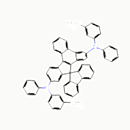 Cc1cccc(N(c2ccccc2)c2ccc3c(c2)C2(c4ccccc4-c4ccccc42)c2c-3c3ccccc3c3cc(N(c4ccccc4)c4cccc(C)c4)ccc23)c1